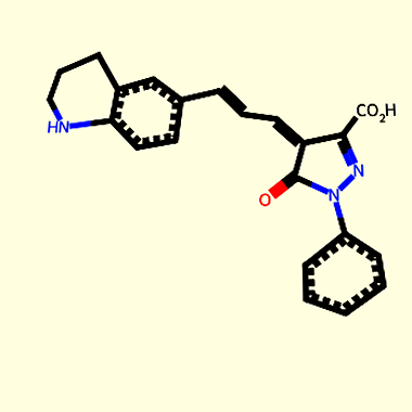 O=C(O)C1=NN(c2ccccc2)C(=O)/C1=C\C=C\c1ccc2c(c1)CCCN2